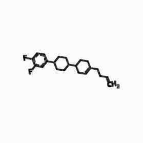 C=CCCC1=CCC(C2CCC(c3ccc(F)c(F)c3)CC2)CC1